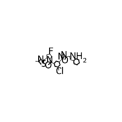 Cc1csc([C@H]2C[C@H](F)CN2C(=O)c2cc(Cl)cc(-c3nnc([C@@](C)(N)Cc4ccccc4)o3)c2)n1